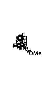 COCCONC(=O)c1ccc(F)c(F)c1Nc1cccc(I)c1Cl